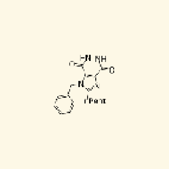 CCCCCc1nc2c(=O)[nH][nH]c(=O)c2n1Cc1ccccc1